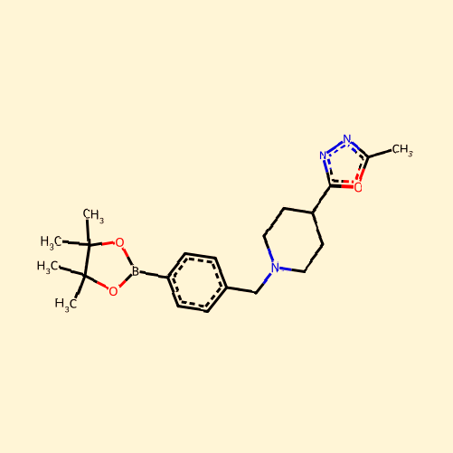 Cc1nnc(C2CCN(Cc3ccc(B4OC(C)(C)C(C)(C)O4)cc3)CC2)o1